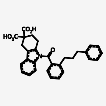 O=C(c1ccccc1CCCc1ccccc1)n1c2c(c3ccccc31)CC(C(=O)O)(C(=O)O)CC2